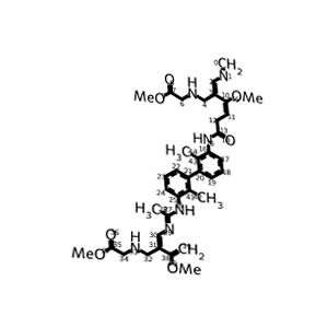 C=N/C=C(CNCC(=O)OC)\C(=C/CC(=O)Nc1cccc(-c2cccc(N/C(C)=N/C=C(/CNCC(=O)OC)C(=C)OC)c2C)c1C)OC